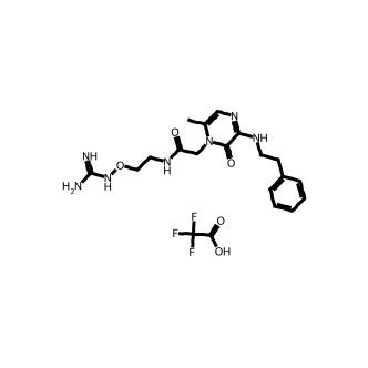 Cc1cnc(NCCc2ccccc2)c(=O)n1CC(=O)NCCONC(=N)N.O=C(O)C(F)(F)F